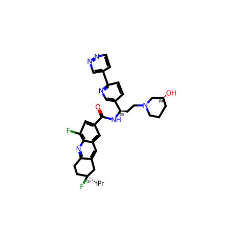 CC(C)[C@]1(F)CCc2nc3c(F)cc(C(=O)N[C@H](CCN4CCC[C@@H](O)C4)c4ccc(-c5ccnnc5)nc4)cc3cc2C1